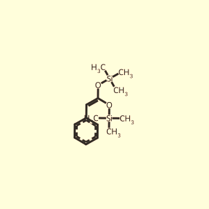 C[Si](C)(C)OC(=Cc1ccccc1)O[Si](C)(C)C